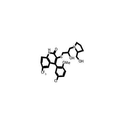 COc1ccc(Cl)cc1-c1c(SCC(O)CN2CCCC2CO)c(=O)[nH]c2ccc(C(F)(F)F)cc12